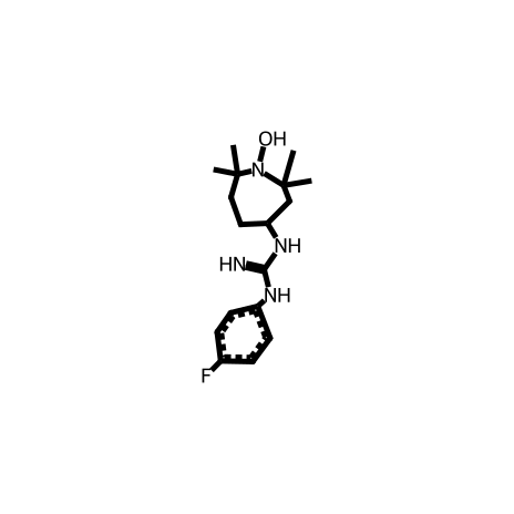 CC1(C)CCC(NC(=N)Nc2ccc(F)cc2)CC(C)(C)N1O